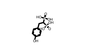 O=P(O)(O)C(Cc1ccc(O)cc1)P(=O)(O)O